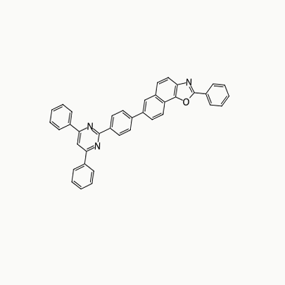 c1ccc(-c2cc(-c3ccccc3)nc(-c3ccc(-c4ccc5c(ccc6nc(-c7ccccc7)oc65)c4)cc3)n2)cc1